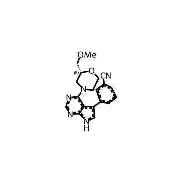 COC[C@H]1CN(c2ncnc3[nH]cc(-c4cccc(C#N)c4)c23)CCO1